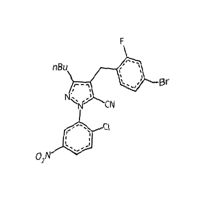 CCCCc1nn(-c2cc([N+](=O)[O-])ccc2Cl)c(C#N)c1Cc1ccc(Br)cc1F